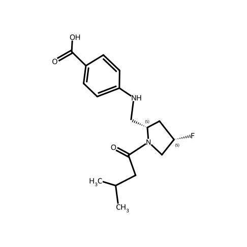 CC(C)CC(=O)N1C[C@@H](F)C[C@H]1CNc1ccc(C(=O)O)cc1